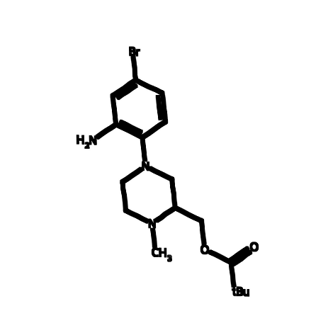 CN1CCN(c2ccc(Br)cc2N)CC1COC(=O)C(C)(C)C